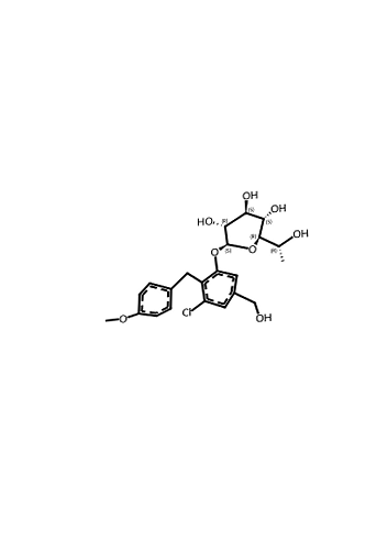 COc1ccc(Cc2c(Cl)cc(CO)cc2O[C@@H]2O[C@H]([C@@H](C)O)[C@@H](O)[C@H](O)[C@H]2O)cc1